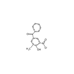 Cc1cc(C(=O)c2ccccc2)cc([N+](=O)[O-])c1O